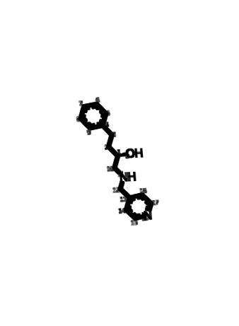 O[C@H](CCc1ccccc1)CNCc1ccncc1